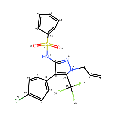 C=CCn1nc(NS(=O)(=O)c2ccccc2)c(-c2ccc(Cl)cc2)c1C(F)(F)F